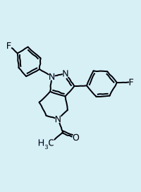 CC(=O)N1CCc2c(c(-c3ccc(F)cc3)nn2-c2ccc(F)cc2)C1